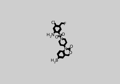 Bc1ccc2c(c1)COC(=O)N2C1CCN(S(=O)(=O)c2cc(CF)c(Cl)cc2N)CC1